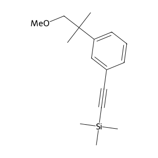 COCC(C)(C)c1cccc(C#C[Si](C)(C)C)c1